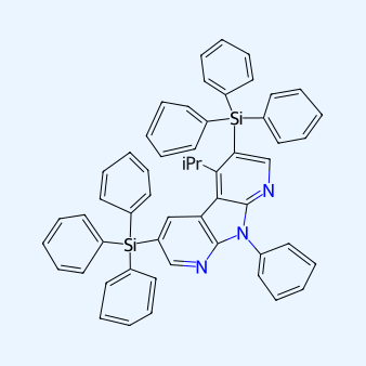 CC(C)c1c([Si](c2ccccc2)(c2ccccc2)c2ccccc2)cnc2c1c1cc([Si](c3ccccc3)(c3ccccc3)c3ccccc3)cnc1n2-c1ccccc1